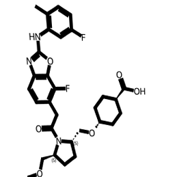 COC[C@@H]1CC[C@@H](CO[C@H]2CC[C@H](C(=O)O)CC2)N1C(=O)Cc1ccc2nc(Nc3cc(F)ccc3C)oc2c1F